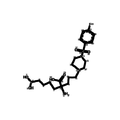 NC(CCCCB(O)O)(CCCN1CCN(S(=O)(=O)c2ccc(F)cc2)CC1)C(=O)O